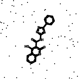 O=C(Nc1nnc(-c2ccccc2)s1)c1c(O)c2ccccc2oc1=O